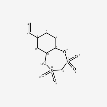 C=CC1CCC2OS(=O)(=O)CS(=O)(=O)OC2C1